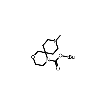 CN1CCC2(CC1)COCCN2C(=O)OC(C)(C)C